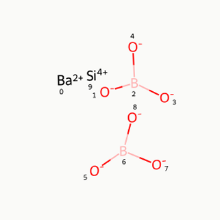 [Ba+2].[O-]B([O-])[O-].[O-]B([O-])[O-].[Si+4]